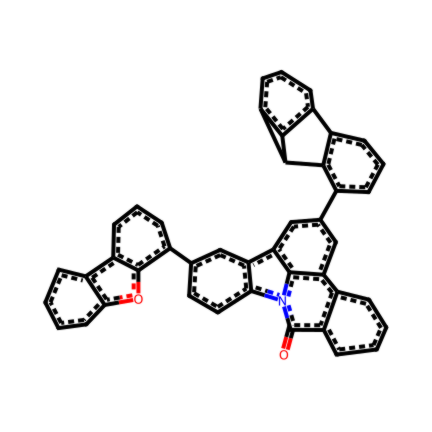 O=c1c2ccccc2c2cc(-c3cccc4c3C3c5cccc-4c53)cc3c4cc(-c5cccc6c5oc5ccccc56)ccc4n1c23